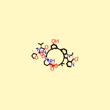 CCn1c(-c2cccnc2[C@H](C)OC)c2c3cc(ccc31)-c1cc(O)cc(c1)C[C@H](NC(=O)[C@H](C(C)C)N(C)C(=O)[C@@H]1OCC[C@@H]1C)C(=O)N1CCC[C@@](O)(N1)C(=O)OCC(C)(C)C2